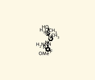 COc1cc2nc(N)n3nc([C@H]4CC[C@H](C)N(c5cnn(C(C)(C)CO)c5)C4)nc3c2cc1F